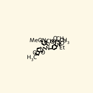 CCN1C(=O)C(C)(C)C(=O)N(C)c2cc(CN(CCn3ccc4oc(C)cc4c3=O)Cc3ccc(OC)nc3C)ccc21